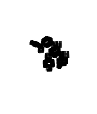 CC#CC(=O)N1CCCC(Nc2cc(OC3CCN(C)CC3)cc(Nc3ncc(C)s3)n2)C1